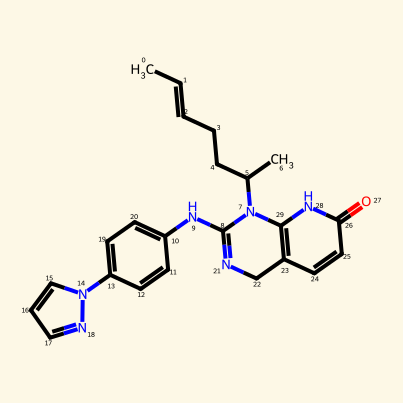 CC=CCCC(C)N1C(Nc2ccc(-n3cccn3)cc2)=NCc2ccc(=O)[nH]c21